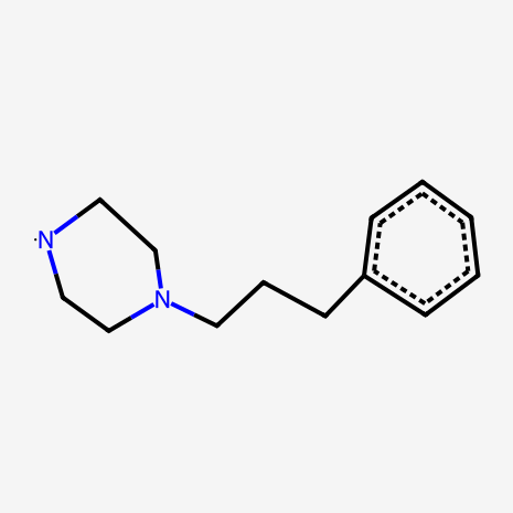 c1ccc(CCCN2CC[N]CC2)cc1